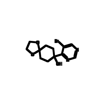 OC1(c2ncncc2Br)CCC2(CC1)OCCO2